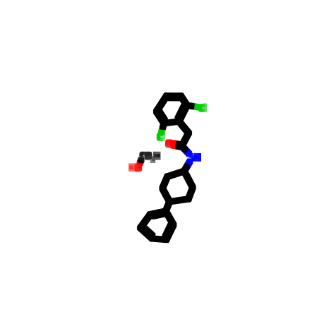 O=C(Cc1c(Cl)cccc1Cl)NC1CCC(c2ccccc2)CC1.O=C(O)O